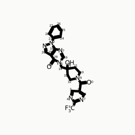 O=C(c1cnc(C(F)(F)F)nc1)N1CCC(O)(Cn2cnc3c(cnn3-c3ccccc3)c2=O)CC1